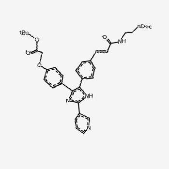 CCCCCCCCCCCCNC(=O)/C=C/c1ccc(-c2[nH]c(-c3cccnc3)nc2-c2ccc(OCC(=O)OC(C)(C)C)cc2)cc1